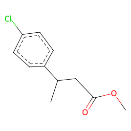 COC(=O)CC(C)c1ccc(Cl)cc1